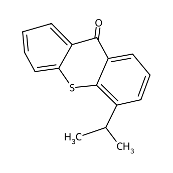 CC(C)c1cccc2c(=O)c3ccccc3sc12